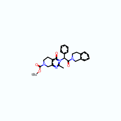 Cc1nc2c(c(=O)n1C(C(=O)N1CCc3ccccc3C1)c1ccccc1)CCN(C(=O)OC(C)(C)C)C2